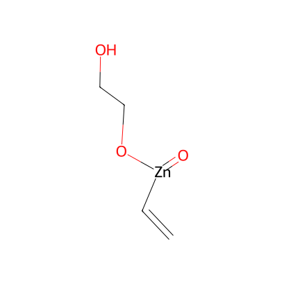 C=[CH][Zn](=[O])[O]CCO